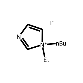 CCCC[N+]1(CC)C=CN=C1.[I-]